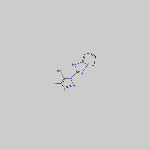 Cc1nn(-c2nc3ccccc3[nH]2)c(O)c1C